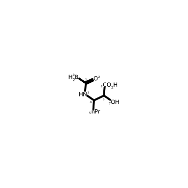 BC(=O)NC(CCC)C(O)C(=O)O